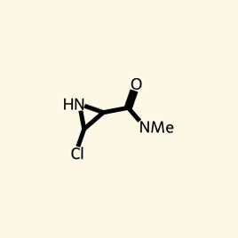 CNC(=O)C1NC1Cl